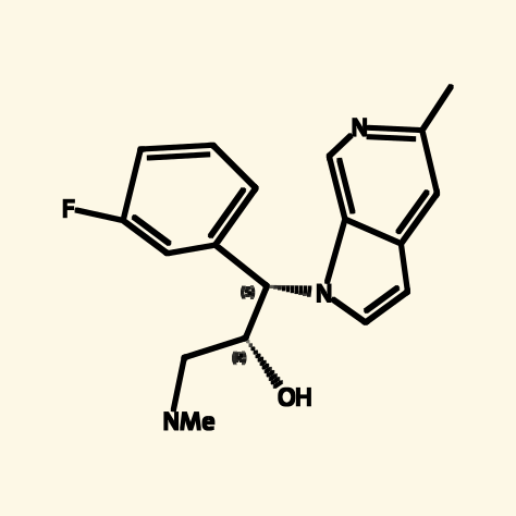 CNC[C@@H](O)[C@H](c1cccc(F)c1)n1ccc2cc(C)ncc21